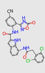 N#Cc1ccc(NC(=O)c2cc3cccc(NC(=O)Cc4c(Cl)cccc4Cl)c3[nH]2)c(-c2noc(=O)[nH]2)c1